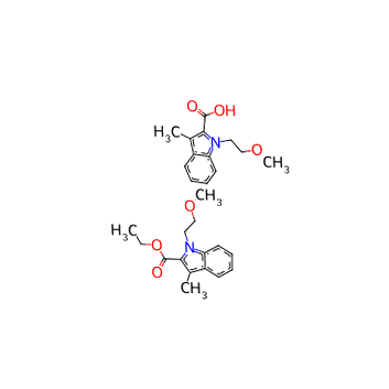 CCOC(=O)c1c(C)c2ccccc2n1CCOC.COCCn1c(C(=O)O)c(C)c2ccccc21